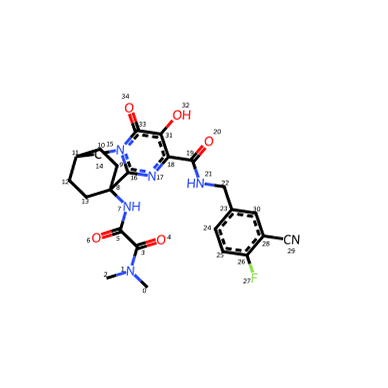 CN(C)C(=O)C(=O)NC12CCC(CC1)Cn1c2nc(C(=O)NCc2ccc(F)c(C#N)c2)c(O)c1=O